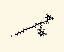 CCCCCCCCCCCCCCCCCCN(CCOC(=O)c1cc(I)cc(I)c1I)CCOC(=O)c1c(I)ccc(I)c1I